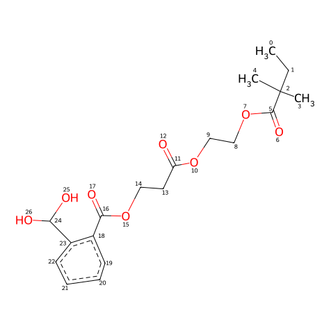 CCC(C)(C)C(=O)OCCOC(=O)CCOC(=O)c1ccccc1C(O)O